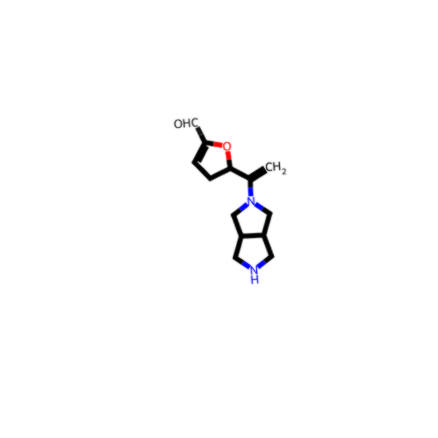 C=C(C1CC=C(C=O)O1)N1CC2CNCC2C1